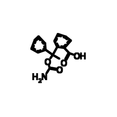 CC(OC(N)=O)(c1ccccc1)c1ccccc1C(=O)O